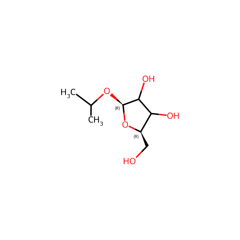 CC(C)O[C@@H]1O[C@H](CO)C(O)C1O